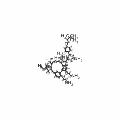 Cc1cc(OCCC(C)(C)C)ccc1C(=O)N[C@@H](CCN)C(=O)N(C)[C@@H]1C(=O)N[C@@H](C)C(=O)N[C@H](C(=O)NCC#N)Cc2ccc(OCCN)c(c2)-c2cc1ccc2OCCN